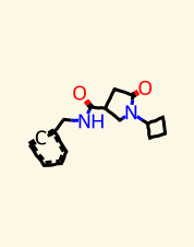 O=C(NCc1ccccc1)C1CC(=O)N(C2CCC2)C1